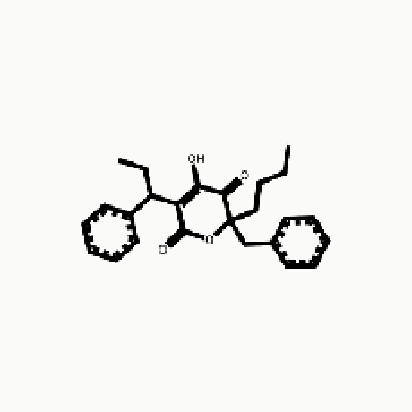 CCCCC1(Cc2ccccc2)OC(=O)C(C(CC)c2ccccc2)=C(O)C1=O